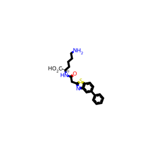 NCCCC[C@H](NC(=O)Cc1nc2cc(-c3ccccc3)ccc2s1)C(=O)O